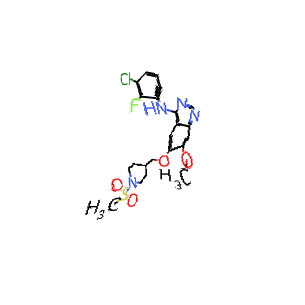 COc1cc2ncnc(Nc3cccc(Cl)c3F)c2cc1OCC1CCN(S(C)(=O)=O)CC1